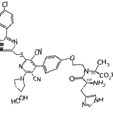 C[C@@H](C(=O)O)N(CCOc1ccc(-c2c(C#N)c(SCc3csc(-c4ccc(Cl)cc4)n3)nc(N3CCCC3)c2C#N)cc1)C(=O)[C@@H](N)Cc1c[nH]cn1.Cl.Cl